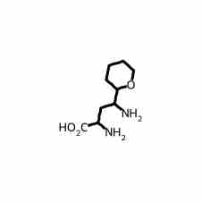 NC(CC(N)C1CCCCO1)C(=O)O